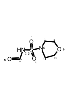 O=[C]NS(=O)(=O)N1CCOCC1